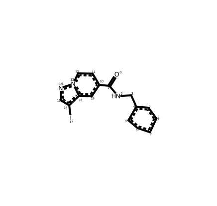 O=C(NCc1ccccc1)c1ccn2ncc(I)c2c1